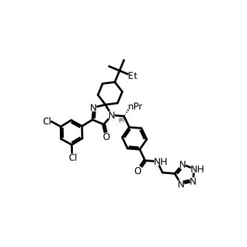 CCC[C@H](c1ccc(C(=O)NCc2nn[nH]n2)cc1)N1C(=O)C(c2cc(Cl)cc(Cl)c2)=NC12CCC(C(C)(C)CC)CC2